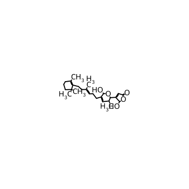 CC1=C(CC/C(C)=C/CCC2=CC(C)C(C3=CC(=O)OC3O)OC2O)C(C)(C)CCC1